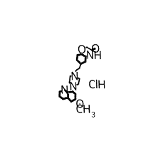 COc1cc(N2CCN(CCc3ccc4c(c3)NC(=O)CO4)CC2)c2ncccc2c1.Cl